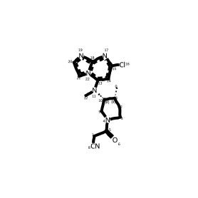 C[C@@H]1CCN(C(=O)CC#N)C[C@@H]1N(C)c1cc(Cl)nc2nccn12